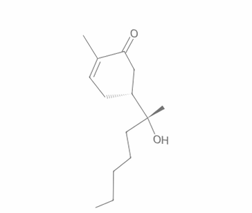 CCCCC[C@@](C)(O)[C@@H]1CC=C(C)C(=O)C1